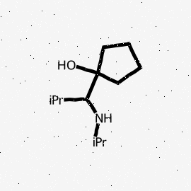 CC(C)NC(C(C)C)C1(O)CCCC1